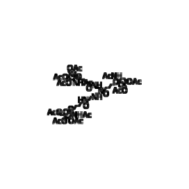 CC(=O)NC1C[C@@H](OC(C)=O)C(COC(C)=O)O[C@H]1OCCCCC(=O)N(CCNCCNC(=O)CCCCO[C@@H]1OC(COC(C)=O)[C@H](OC(C)=O)C(OC(C)=O)C1NC(C)=O)CCNC(=O)CCCCO[C@@H]1OC(COC(C)=O)[C@H](OC(C)=O)C(OC(C)=O)C1NC(C)=O